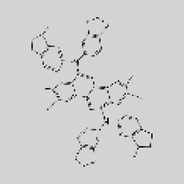 Cc1cc2c(N(c3ccc4c(c3)CCC4C)c3ccc4c(c3)C(C)CC4)cc3c4cc(C)c(C)cc4c(N(c4ccc5c(c4)CCC5C)c4ccc5c(c4)C(C)CC5)cc3c2cc1C